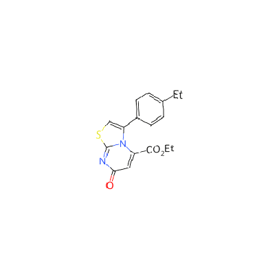 CCOC(=O)c1cc(=O)nc2scc(-c3ccc(CC)cc3)n12